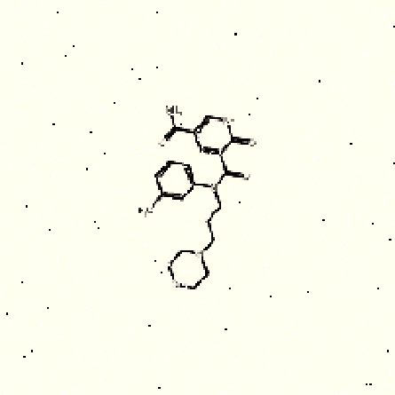 NC(=O)c1c[nH]c(=O)c(C(=O)N(CCCN2CCOCC2)c2cccc(C(F)(F)F)c2)c1